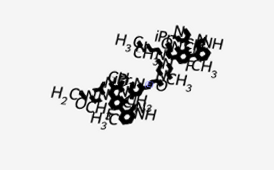 C=CC(=O)N1CC2CN(C)c3c(c4cc(F)c(-c5c(C)ccc6[nH]ncc56)c(Cl)c4n(-c4c(C)cc(/C=C/C(=O)N5CC6CN(CCCN(C)C)c7c(c8cc(F)c(-c9c(C)ccc%10[nH]ncc9%10)c(Cl)c8n(-c8c(C)ccnc8C(C)C)c7=O)N6CC5C)nc4C(C)C)c3=O)N2CC1C